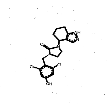 O=C1[C@H](Cc2c(Cl)cc(O)cc2Cl)CCN1C1CCCc2[nH]ncc21